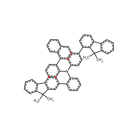 CC1(C)c2ccccc2-c2ccc(-c3ccccc3N(c3ccc(-c4cccc5c4C(C)(C)c4ccccc4-5)cc3)c3ccccc3-c3cccc4ccccc34)cc21